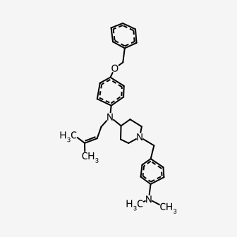 CC(C)=CCN(c1ccc(OCc2ccccc2)cc1)C1CCN(Cc2ccc(N(C)C)cc2)CC1